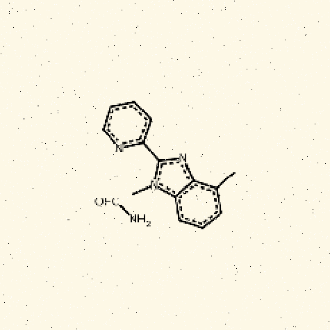 Cc1cccc2c1nc(-c1ccccn1)n2C.NC=O